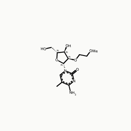 COCCO[C@@H]1[C@H](O)[C@@H](CO)O[C@H]1n1cc(C)c(N)nc1=O